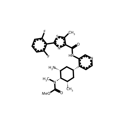 COC(=O)N(C)[C@@H]1[C@H](N)C[C@H](c2ccncc2NC(=O)c2nc(-c3c(F)cccc3F)sc2C)C[C@@H]1C